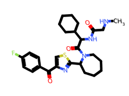 CNCC(=O)NC(C(=O)N1CCCCCC1c1nc(C(=O)c2ccc(F)cc2)cs1)C1CCCCC1